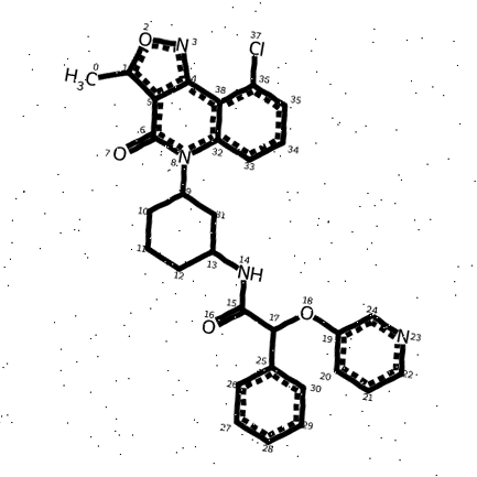 Cc1onc2c1c(=O)n(C1CCCC(NC(=O)C(Oc3cccnc3)c3ccccc3)C1)c1cccc(Cl)c21